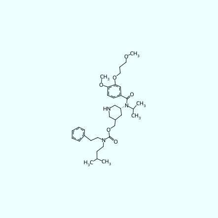 COCCCOc1cc(C(=O)N(C(C)C)[C@H]2CNCC(COC(=O)N(CCc3ccccc3)CCC(C)C)C2)ccc1OC